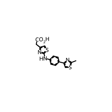 Cc1nc(-c2ccc(Nc3nc(CC(=O)O)cs3)cc2)cs1